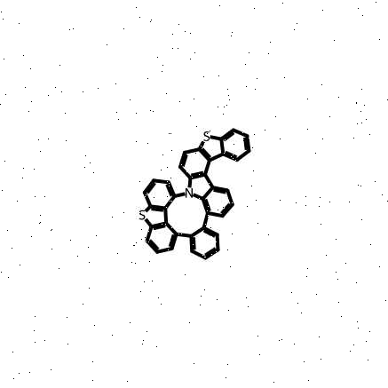 c1ccc2c(c1)sc1ccc3c(c4cccc5c6ccccc6c6cccc7sc8cccc(c8c76)n3c54)c12